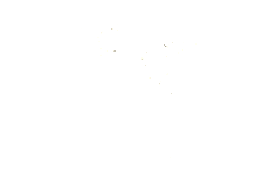 C[C@]12CC[C@@H]3c4ccc(O)cc4CC[C@H]3[C@@H]1[C@H](CCCCCCO)CC2=O